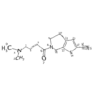 CN(C)C/C=C/C(=O)N1CCc2cc(C#N)sc2C1